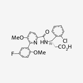 COc1ccc(F)cc1-c1nc(C(=O)N[C@@H](CC(=O)O)c2ccccc2Cl)ccc1OC